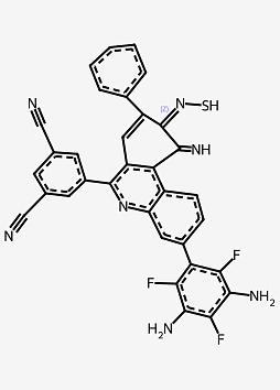 N#Cc1cc(C#N)cc(-c2nc3cc(-c4c(F)c(N)c(F)c(N)c4F)ccc3c3c2C=C(c2ccccc2)/C(=N/S)C3=N)c1